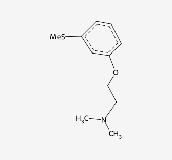 CSc1cccc(OCCN(C)C)c1